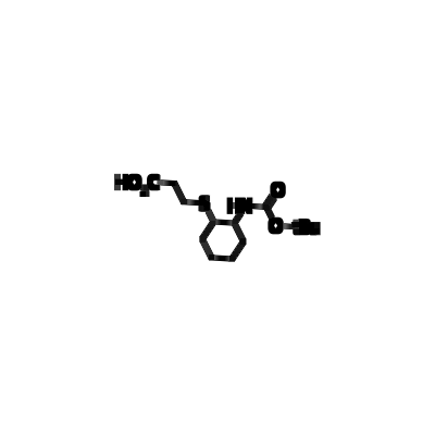 CC(C)(C)OC(=O)NC1CCCCC1SCCC(=O)O